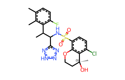 Cc1ccc(F)c(C(C)C(NS(=O)(=O)c2ccc(Cl)c3c2OCC[C@]3(C)O)c2nn[nH]n2)c1C